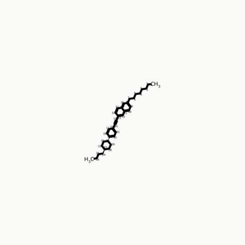 CCCCCCCCc1ccc2cc(C#Cc3ccc([C@H]4CC[C@H](CCCC)CC4)cc3)ccc2c1